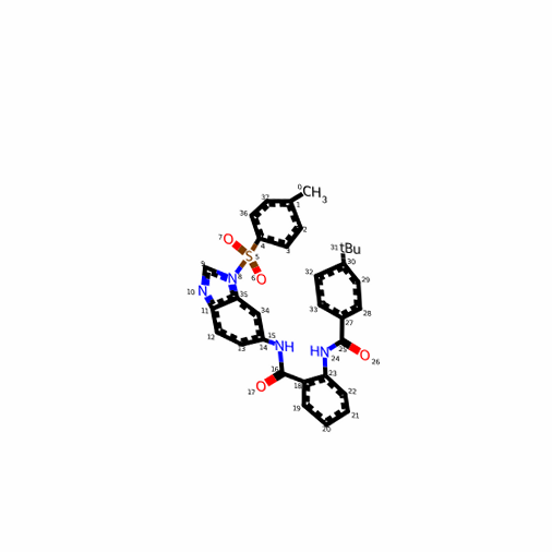 Cc1ccc(S(=O)(=O)n2cnc3ccc(NC(=O)c4ccccc4NC(=O)c4ccc(C(C)(C)C)cc4)cc32)cc1